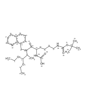 CCOC(OCC)C(C)N(Cc1cccc2cccnc12)C(=O)C(CCCCNC(=O)OC(C)(C)C)NC(=O)O